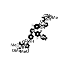 COC[C@H]1C[C@@H](C(=O)Nc2ccc([C@H]3CC[C@H](c4cc5[nH]c([C@@H]6CCCN6C(=O)[C@@H](NC(=O)OC)[C@@H](C)OC)nc5cc4F)N3c3cc(F)c(N4CC[Si](C)(C)CC4)c(F)c3)cc2)N(C(=O)[C@@H](NC(=O)OC)[C@@H](C)OC)C1